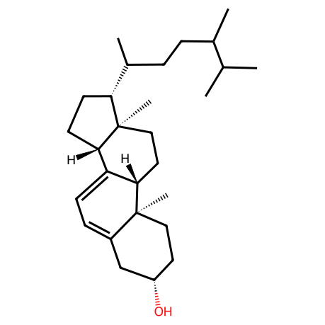 CC(C)C(C)CCC(C)[C@H]1CC[C@H]2C3=CC=C4C[C@@H](O)CC[C@]4(C)[C@H]3CC[C@]12C